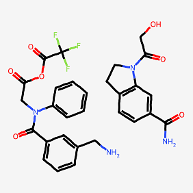 NC(=O)c1ccc2c(c1)N(C(=O)CO)CC2.NCc1cccc(C(=O)N(CC(=O)OC(=O)C(F)(F)F)c2ccccc2)c1